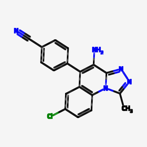 Cc1nnc2c(N)c(-c3ccc(C#N)cc3)c3cc(Cl)ccc3n12